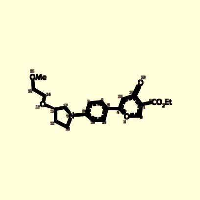 CCOC(=O)c1coc(-c2ccc(N3CC[C@@H](OCCOC)C3)cc2)cc1=O